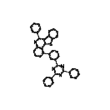 c1ccc(-c2nc(-c3ccccc3)nc(-c3cccc(-c4cccc5nc(-c6ccccc6)c6c7ccccc7sc6c45)c3)n2)cc1